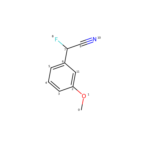 COc1cccc(C(F)C#N)c1